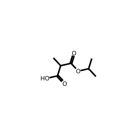 C[C](C)OC(=O)C(C)C(=O)O